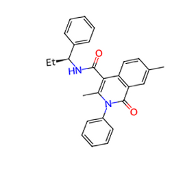 CC[C@H](NC(=O)c1c(C)n(-c2ccccc2)c(=O)c2cc(C)ccc12)c1ccccc1